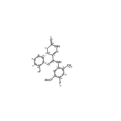 COc1cc(NC(=O)C2=CNC(=O)C[C@H]2c2cccc(F)c2)c(C)cc1F